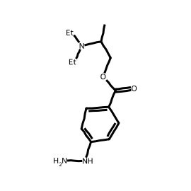 CCN(CC)C(C)COC(=O)c1ccc(NN)cc1